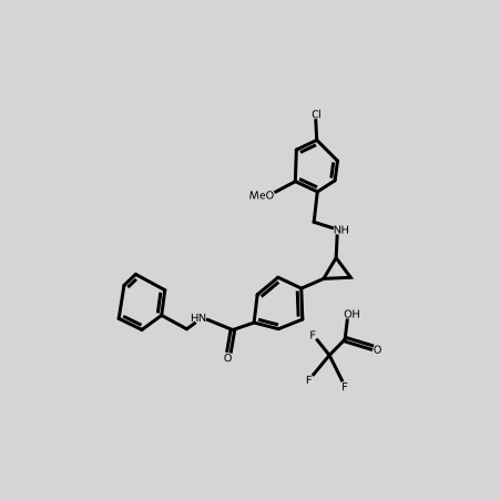 COc1cc(Cl)ccc1CNC1CC1c1ccc(C(=O)NCc2ccccc2)cc1.O=C(O)C(F)(F)F